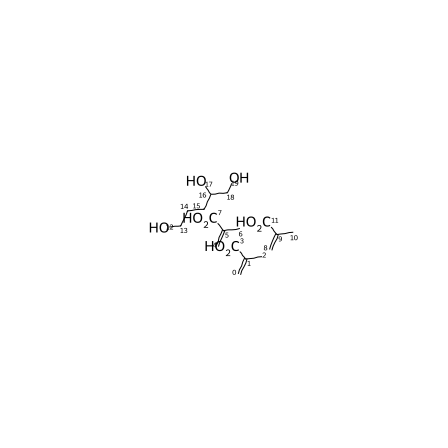 C=C(C)C(=O)O.C=C(C)C(=O)O.C=C(C)C(=O)O.OCCCC(O)CO